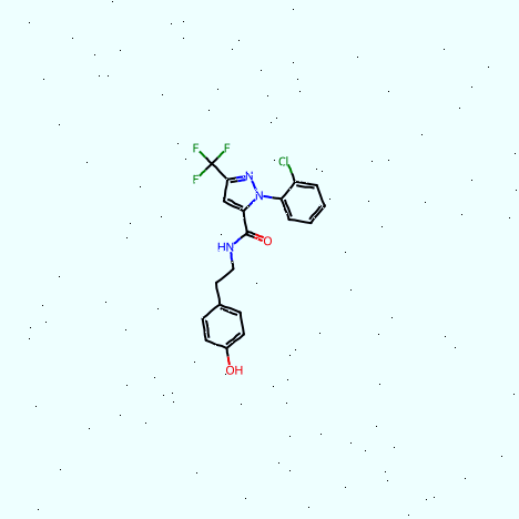 O=C(NCCc1ccc(O)cc1)c1cc(C(F)(F)F)nn1-c1ccccc1Cl